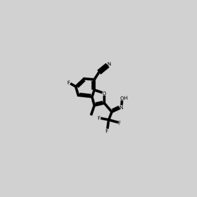 Cc1c(/C(=N\O)C(F)(F)F)oc2c(C#N)cc(F)cc12